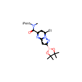 CCCC(C)N(C)C(=O)c1cc(CC)n2nc(B3OC(C)(C)C(C)(C)O3)cc2n1